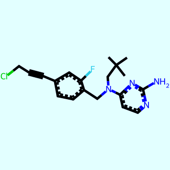 CC(C)(C)CN(Cc1ccc(C#CCCl)cc1F)c1ccnc(N)n1